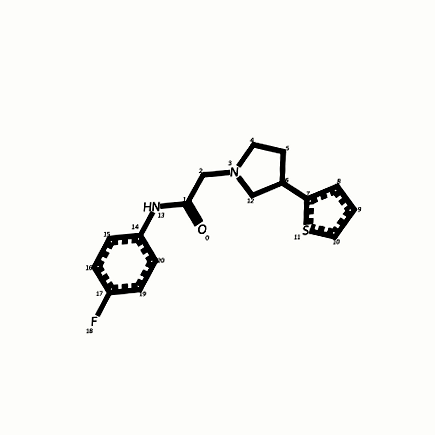 O=C(CN1CCC(c2cccs2)C1)Nc1ccc(F)cc1